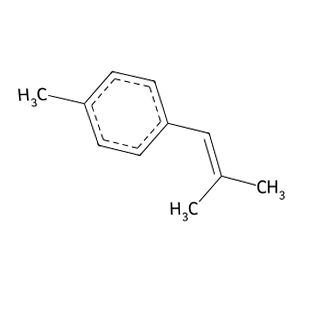 CC(C)=Cc1ccc(C)cc1